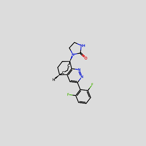 O=C1NCCN1[C@@]12CCC[C@@H](CC1)c1cc(-c3c(F)cccc3F)nnc12